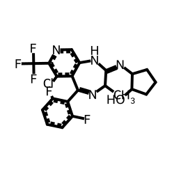 CC1N=C(c2c(F)cccc2F)c2c(cnc(C(F)(F)F)c2Cl)N/C1=N/C1CCCC1O